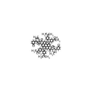 CCCC(C(=O)Nc1cccc(Cl)c1)N1C(=O)c2cc(Oc3ccc(C(C)C)cc3)c3c4c(Oc5ccc(C(C)C)cc5)cc5c6c(cc(Oc7ccc(C(C)C)cc7)c(c7c(Oc8ccc(C(C)C)cc8)cc(c2c37)C1=O)c64)C(=O)N(C(CCC)C(=O)Nc1cccc(Cl)c1)C5=O